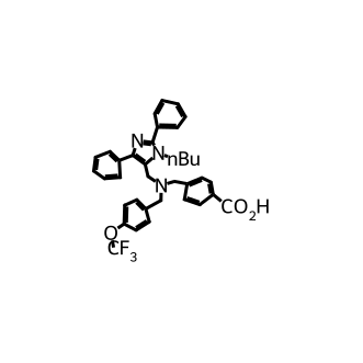 CCCCn1c(-c2ccccc2)nc(-c2ccccc2)c1CN(Cc1ccc(OC(F)(F)F)cc1)Cc1ccc(C(=O)O)cc1